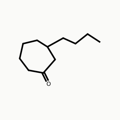 CCCCC1CCCCC(=O)C1